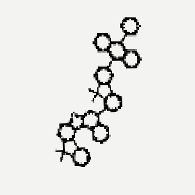 CC1(C)c2ccccc2-c2c1ccc1oc3cc(-c4cccc5c4C(C)(C)c4ccc(-c6c7ccccc7c(-c7ccccc7)c7ccccc67)cc4-5)c4ccccc4c3c21